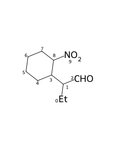 CCC(C=O)C1CCCCC1[N+](=O)[O-]